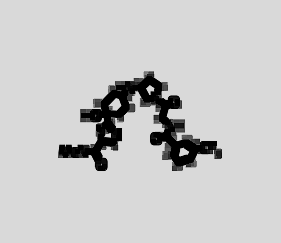 CNC(=O)c1cnc(C2(O)CCC(N[C@H]3CCN(C(=O)CNC(=O)c4cccc(C(F)(F)F)c4)C3)CC2)s1